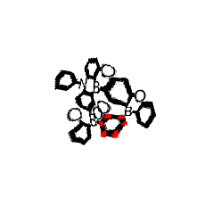 c1ccc(N2c3cccc4c3B(c3c(cc5c6c3Oc3ccccc3B6c3ccccc3O5)O4)c3c2cc2c4c3Oc3ccccc3B4c3ccccc3O2)cc1